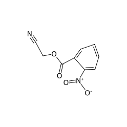 N#CCOC(=O)c1ccccc1[N+](=O)[O-]